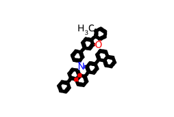 Cc1cccc2oc3cc(-c4cccc(N(c5ccc(-c6ccccc6)cc5)c5cc(-c6cccc7ccccc67)ccc5-c5ccccc5)c4)ccc3c12